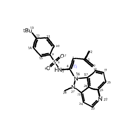 C=C(C)/C=C(/NS(=O)(=O)c1ccc(C(C)(C)C)cc1)N1c2cccc3nccc(c23)N1C